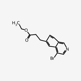 CCOC(=O)CCc1ccc2cncc(Br)c2c1